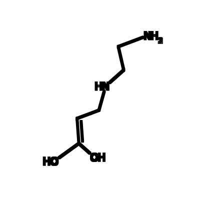 NCCNCC=C(O)O